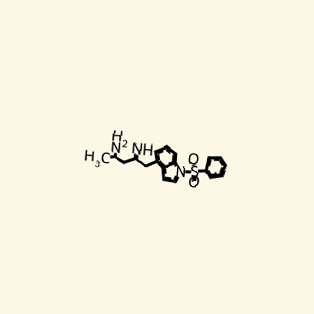 CC(N)CC(=N)Cc1cccc2c1ccn2S(=O)(=O)c1ccccc1